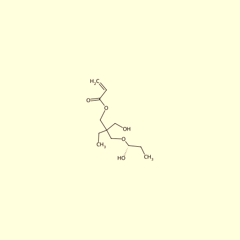 C=CC(=O)OCC(CC)(CO)CO[C@@H](O)CC